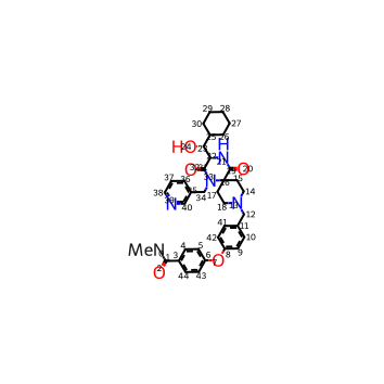 CNC(=O)c1ccc(Oc2ccc(CN3CCC4(CC3)C(=O)N[C@H]([C@H](O)C3CCCCC3)C(=O)N4Cc3cccnc3)cc2)cc1